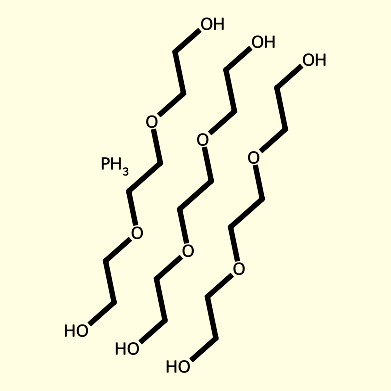 OCCOCCOCCO.OCCOCCOCCO.OCCOCCOCCO.P